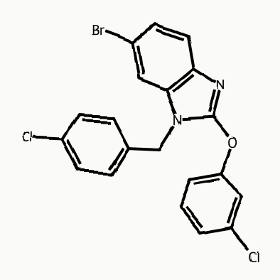 Clc1ccc(Cn2c(Oc3cccc(Cl)c3)nc3ccc(Br)cc32)cc1